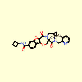 COc1cccnc1CNC(=O)C1(C)COc2c(oc3cc(C(=O)NC4CCC4)ccc23)C(=O)N1CC1CC1